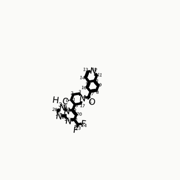 C[C@@H]1CCN(C(=O)c2ccc3cnccc3c2)CC1c1cc(C(F)F)nc2ncnn12